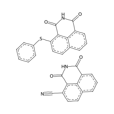 N#Cc1ccc2cccc3c2c1C(=O)NC3=O.O=C1NC(=O)c2c(Sc3ccccc3)ccc3cccc1c23